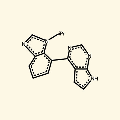 CC(C)n1cnc2cccc(-c3ncnc4[nH]ccc34)c21